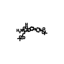 CC(C)(C)OC(=O)CC[C@@H](C(N)=O)N1Cc2cc(N3CCN(C(=O)OC(C)(C)C)CC3)ccc2C1O